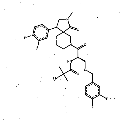 CN1CC(c2ccc(F)c(F)c2)C2(CCCN(C(=O)[C@@H](COCc3ccc(F)c(F)c3)NC(=O)C(C)(C)N)C2)C1=O